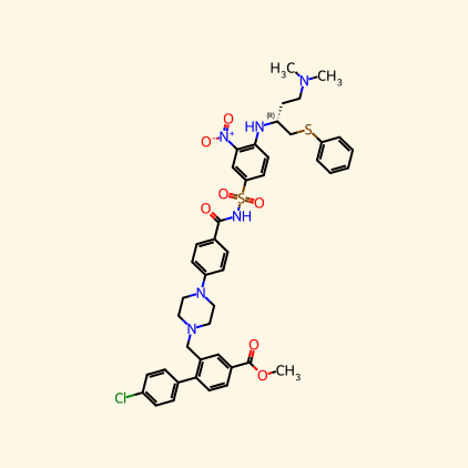 COC(=O)c1ccc(-c2ccc(Cl)cc2)c(CN2CCN(c3ccc(C(=O)NS(=O)(=O)c4ccc(N[C@H](CCN(C)C)CSc5ccccc5)c([N+](=O)[O-])c4)cc3)CC2)c1